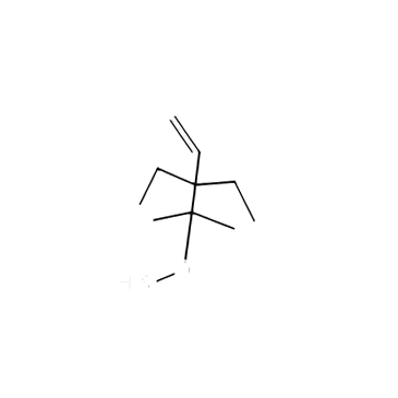 C=CC(CC)(CC)C(C)(C)O[SiH3]